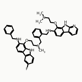 CN(C)CCOc1c(NCc2ccccc2CN(C)CCOc2c(NCc3ccccc3)ccc3c2[nH]c2ccc(F)cc23)ccc2c1[nH]c1ncccc12